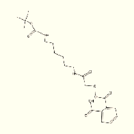 CC(C)(C)OC(=O)NCCCCCCNC(=O)COOC(=O)c1ccccc1C(=O)O